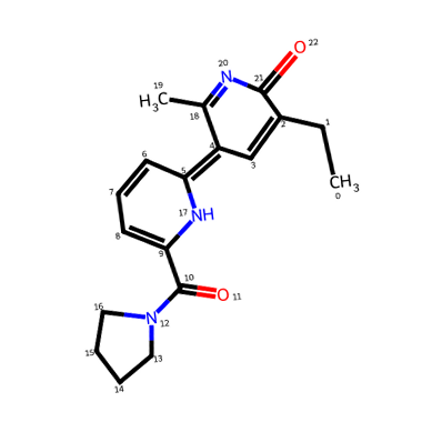 CCC1=CC(=C2C=CC=C(C(=O)N3CCCC3)N2)C(C)=NC1=O